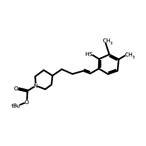 Cc1ccc(C=CCCC2CCN(C(=O)OC(C)(C)C)CC2)c(S)c1C